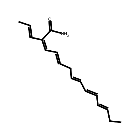 C/C=C/C(=C/C=C/C/C=C/C=C/C=C/CC)C(N)=O